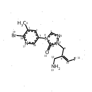 Cc1cc(-n2cnn(C/C(=C\F)CN)c2=O)cnc1Br